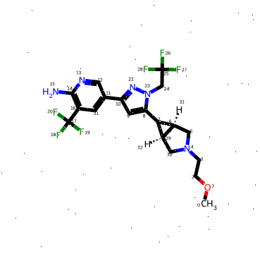 COCCN1C[C@@H]2C(c3cc(-c4cnc(N)c(C(F)(F)F)c4)nn3CC(F)(F)F)[C@@H]2C1